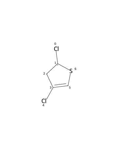 Cl[C]1CC(Cl)=CS1